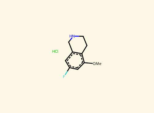 COc1cc(F)cc2c1CCNC2.Cl